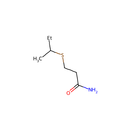 CCC(C)SCCC(N)=O